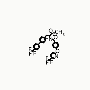 COC(=O)[C@H](Cc1ccc(-c2ccc(C(F)(F)F)cc2)cc1)NC(=O)c1ccc(Oc2ccc(C(F)(F)F)cn2)cc1